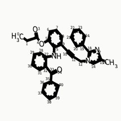 CCC(=O)Oc1cccc(C#CCn2cc(C)nc2-c2ccccc2)c1Nc1ccccc1C(=O)c1ccccc1